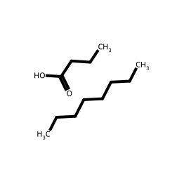 CCCC(=O)O.CCCCCCCC